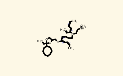 C=C/C(=C\C=C/C)N(CC\C=C/C(=C\C=C/C)OCC1COC(CN)(C2CCCCCCC2)O1)CCNC